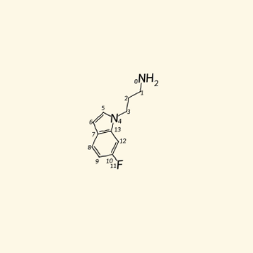 NCCCn1ccc2ccc(F)cc21